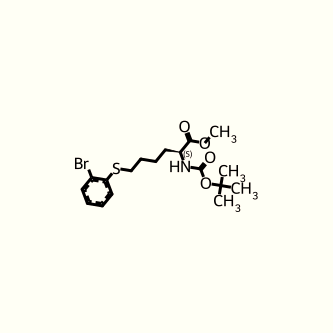 COC(=O)[C@H](CCCCSc1ccccc1Br)NC(=O)OC(C)(C)C